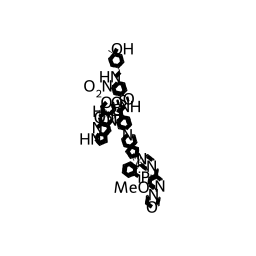 COc1cc(CN2CCN([C@@H]3CCC4(CCN(c5ccc(C(=O)NS(=O)(=O)c6ccc(NC[C@H]7CC[C@](C)(O)CC7)c([N+](=O)[O-])c6)c(N6c7cc8cc[nH]c8nc7O[C@H]7COCC[C@@H]76)c5)CC4)C3)[C@H](c3ccccc3C(C)C)C2)cnc1N1CCOCC1